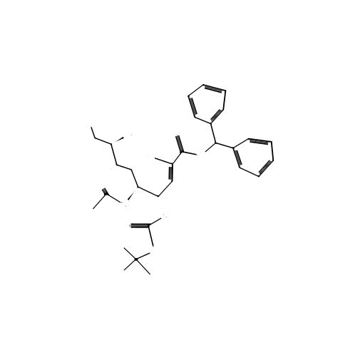 CC(=O)N[C@H]1[C@H]([C@H](O)[C@H](O)CO)OC(C(=O)OC(c2ccccc2)c2ccccc2)=C[C@@H]1NC(=O)OC(C)(C)C